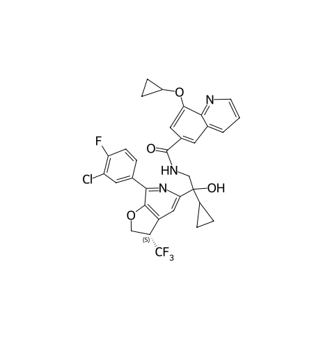 O=C(NCC(O)(c1cc2c(c(-c3ccc(F)c(Cl)c3)n1)OC[C@H]2C(F)(F)F)C1CC1)c1cc(OC2CC2)c2ncccc2c1